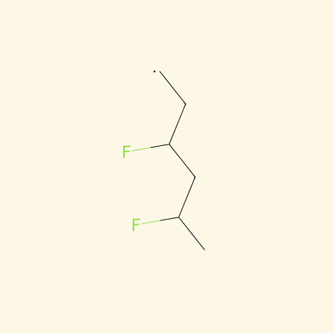 [CH2]CC(F)CC(C)F